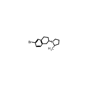 C[C@@H]1CCCN1C1CCc2cc(Br)ccc2C1